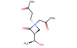 COC(=O)CC[N@+]1(CC(=O)OC)C[C@@H]([C@H](C)O)C1=O